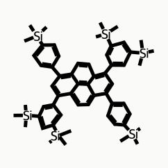 C[Si](C)(C)c1ccc(-c2cc(-c3cc([Si](C)(C)C)cc([Si](C)(C)C)c3)c3ccc4c(-c5ccc([Si](C)(C)C)cc5)cc(-c5cc([Si](C)(C)C)cc([Si](C)(C)C)c5)c5ccc2c3c45)cc1